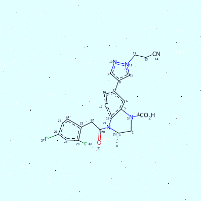 C[C@H]1CN(C(=O)O)c2cc(-c3cnn(CCC#N)c3)ccc2N1C(=O)Cc1ccc(F)cc1F